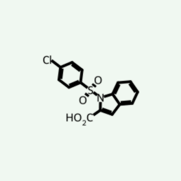 O=C(O)c1cc2ccccc2n1S(=O)(=O)c1ccc(Cl)cc1